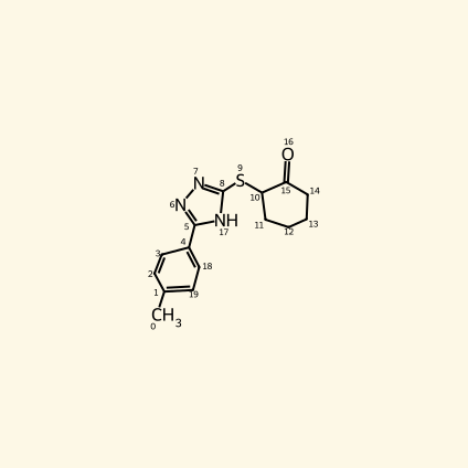 Cc1ccc(-c2nnc(SC3CCCCC3=O)[nH]2)cc1